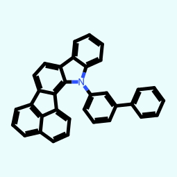 c1ccc(-c2cccc(-n3c4ccccc4c4ccc5c(c43)-c3cccc4cccc-5c34)c2)cc1